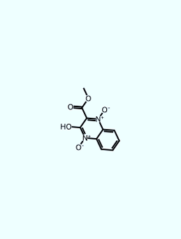 COC(=O)c1c(O)[n+]([O-])c2ccccc2[n+]1[O-]